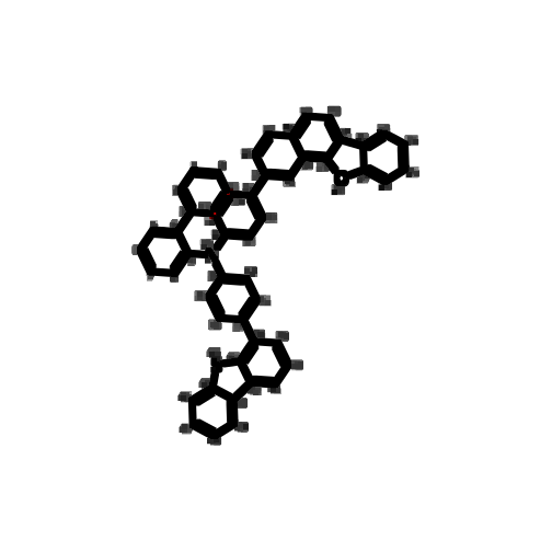 c1ccc(-c2ccccc2N(c2ccc(-c3ccc4ccc5c6ccccc6oc5c4c3)cc2)c2ccc(-c3cccc4c3sc3ccccc34)cc2)cc1